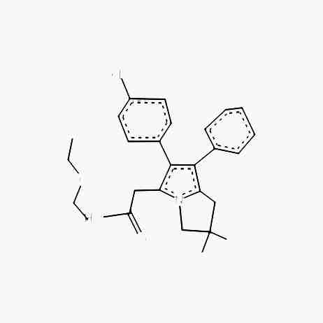 CC1(C)Cc2c(-c3ccccc3)c(-c3ccc(Cl)cc3)c(CC(=O)O)n2C1.CCOCC